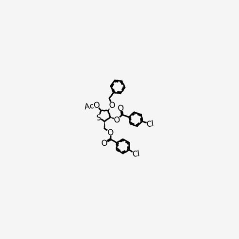 CC(=O)OC1S[C@H](COC(=O)c2ccc(Cl)cc2)[C@H](OC(=O)c2ccc(Cl)cc2)[C@H]1OCc1ccccc1